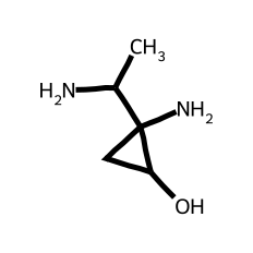 CC(N)C1(N)CC1O